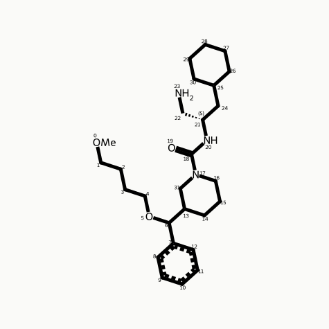 COCCCCOC(c1ccccc1)C1CCCN(C(=O)N[C@H](CN)CC2CCCCC2)C1